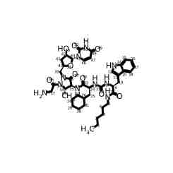 CCCCCCNC(=O)[C@H](Cc1c[nH]c2ccccc12)NC(=O)N[C@@H](CC1CCCCC1)C(=O)N[C@@H]1C(=O)N(C[C@H]2C[C@@H](O)[C@H](n3ccc(=O)[nH]c3=O)O2)N(C(=O)CN)[C@H]1C